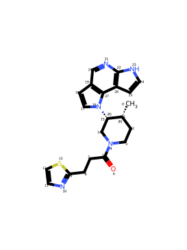 C[C@@H]1CCN(C(=O)CCc2nccs2)C[C@@H]1n1ccc2cnc3[nH]ccc3c21